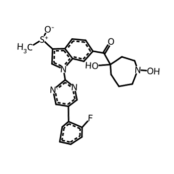 C[S+]([O-])c1cn(-c2ncc(-c3ccccc3F)cn2)c2cc(C(=O)C3(O)CCCN(O)CC3)ccc12